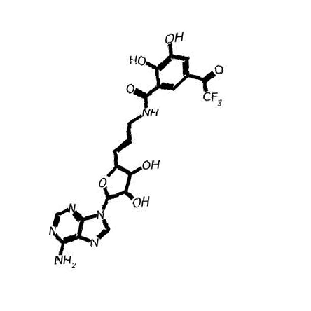 Nc1ncnc2c1ncn2C1OC(C=CCNC(=O)c2cc(C(=O)C(F)(F)F)cc(O)c2O)C(O)C1O